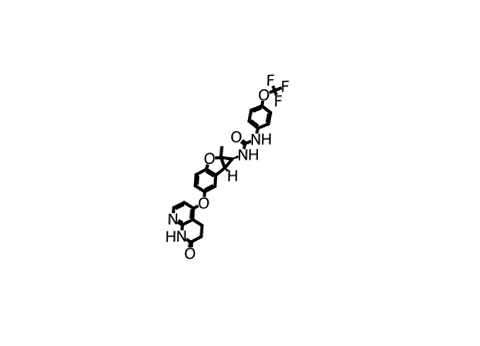 CC12Oc3ccc(Oc4ccnc5c4CCC(=O)N5)cc3[C@H]1[C@@H]2NC(=O)Nc1ccc(OC(F)(F)F)cc1